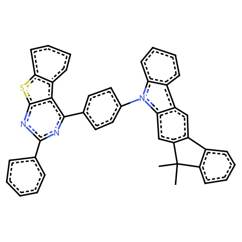 CC1(C)c2ccccc2-c2cc3c4ccccc4n(-c4ccc(-c5nc(-c6ccccc6)nc6sc7ccccc7c56)cc4)c3cc21